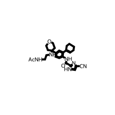 CC(=O)NCCNC1(c2ccc(NC(=O)c3nc(C#N)c[nH]3)c(C3=CCCCC3)c2)CCOCC1